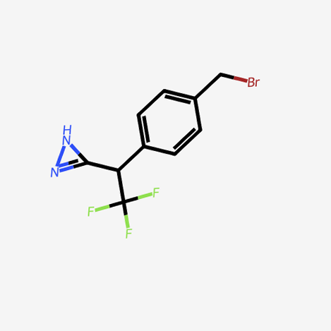 FC(F)(F)C(C1=NN1)c1ccc(CBr)cc1